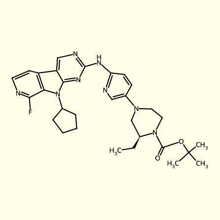 CC[C@H]1CN(c2ccc(Nc3ncc4c5ccnc(F)c5n(C5CCCC5)c4n3)nc2)CCN1C(=O)OC(C)(C)C